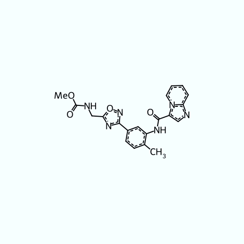 COC(=O)NCc1nc(-c2ccc(C)c(NC(=O)c3cnc4ccccn34)c2)no1